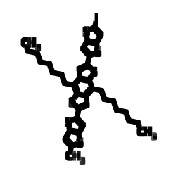 CCCCCCCCc1c2cc(-c3cc4sc(I)cc4s3)sc2c(CCCCCCCC)c2cc(-c3cc4sc(C)cc4s3)sc12